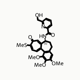 COc1cc2c(c(OC)c1OC)-c1ccc(SC)c(=O)cc1[C@@H](NC(=O)c1cccc(CO)n1)CC2